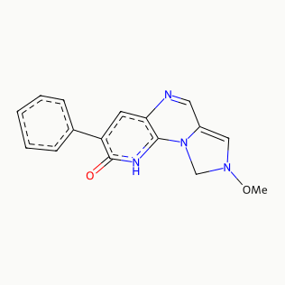 CON1C=C2C=Nc3cc(-c4ccccc4)c(=O)[nH]c3N2C1